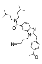 CC(=O)c1ccc(Cc2nc3ccc(C(=O)N(CCC(C)C)CCC(C)C)cc3n2CCCC#N)cc1